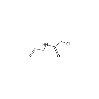 C=CCNC(=O)CCl